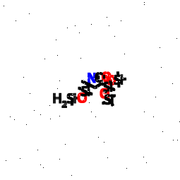 C[SiH2]O[Si](C)(C)C(C)(CC[Si](C)(O[Si](C)(C)C)O[Si](C)(C)C)N=C=O